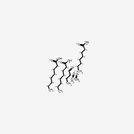 C=O.C=O.CCCC=O.CCCCCCCC(=O)O.CCCCCCCC(=O)O.CCCCCCCC(=O)O